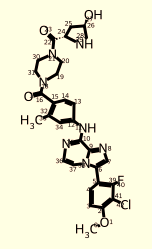 COc1ccc(-c2cnc3c(Nc4ccc(C(=O)N5CCN(C(=O)[C@@H]6C[C@@H](O)CN6)CC5)c(C)c4)nccn23)c(F)c1Cl